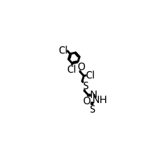 S=c1[nH]nc(CSCC(Cl)COc2ccc(Cl)cc2Cl)o1